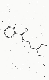 CC=C(CC)CCOC(=O)c1ccccc1